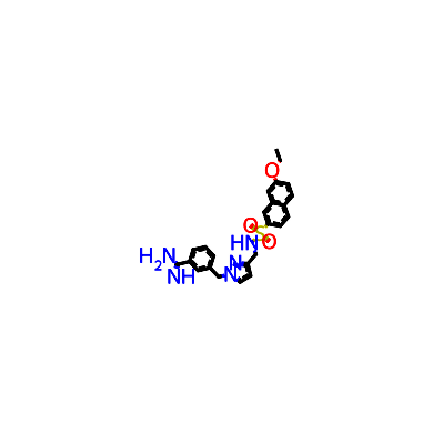 CCOc1ccc2ccc(S(=O)(=O)NCc3ccn(Cc4cccc(C(=N)N)c4)n3)cc2c1